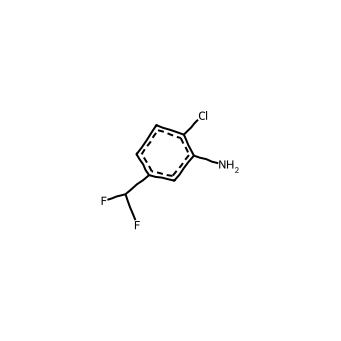 Nc1cc(C(F)F)ccc1Cl